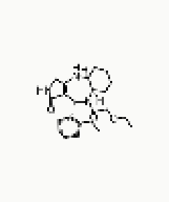 CCOCC(=O)N1[C@@H]2CCCC[C@H]2NC2=C(C(=O)NC2)[C@H]1c1ccccc1CC